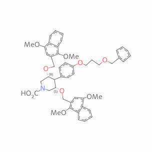 COc1cc(CO[C@H]2CN(C(=O)O)C[C@@H](OCc3cc(OC)c4ccccc4c3OC)C2c2ccc(OCCCOCc3ccccc3)cc2)c(OC)c2ccccc12